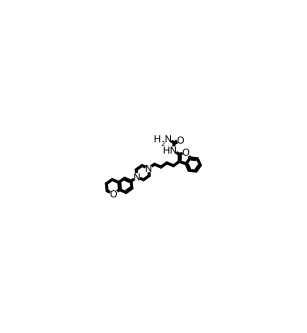 NC(=O)Nc1oc2ccccc2c1CCCCN1CCN(c2ccc3c(c2)CCCO3)CC1